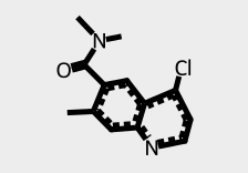 Cc1cc2nccc(Cl)c2cc1C(=O)N(C)C